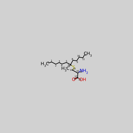 CCCCCCC(C)(CCCCC)SCC(N)C(=O)O